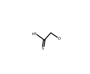 S=C(S)CCl